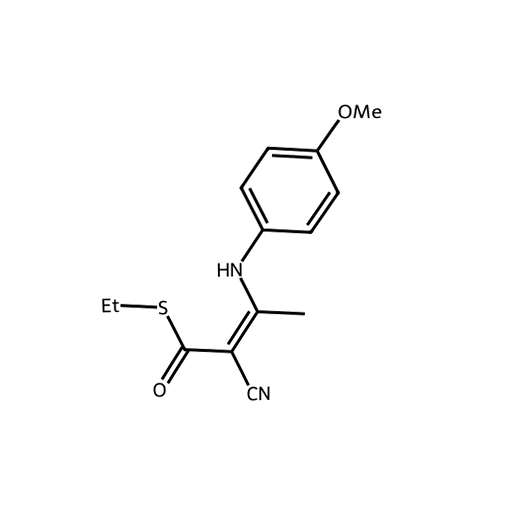 CCSC(=O)C(C#N)=C(C)Nc1ccc(OC)cc1